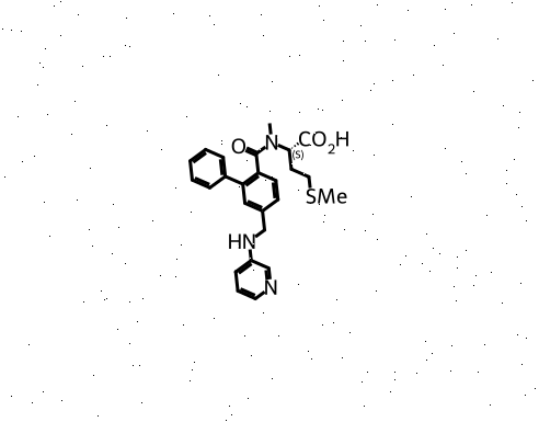 CSCC[C@@H](C(=O)O)N(C)C(=O)c1ccc(CNc2cccnc2)cc1-c1ccccc1